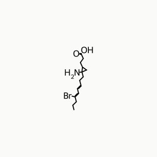 CCC/C(Br)=C/C=C/CCC1(N)CC1CCC(=O)O